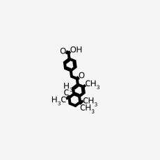 Cc1cc2c(cc1C(=O)Cc1ccc(C(=O)O)cc1)C(C)(C)CCC2(C)C